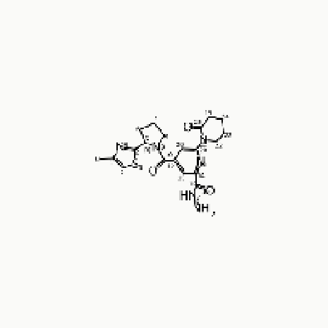 Cc1csc([C@H]2CCCN2C(=O)c2cc(C(=O)NN)nc(N3CCCCC3=O)c2)n1